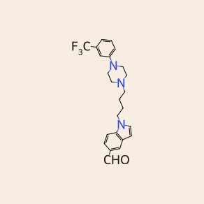 O=Cc1ccc2c(ccn2CCCCN2CCN(c3cccc(C(F)(F)F)c3)CC2)c1